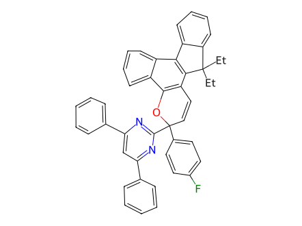 CCC1(CC)c2ccccc2-c2c1c1c(c3ccccc23)OC(c2ccc(F)cc2)(c2nc(-c3ccccc3)cc(-c3ccccc3)n2)C=C1